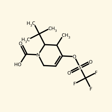 CC1C(OS(=O)(=O)C(F)(F)F)=CCN(C(=O)O)C1C(C)(C)C